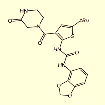 CC(C)(C)c1cc(C(=O)N2CCNC(=O)C2)c(NC(=O)Nc2cccc3c2OCO3)s1